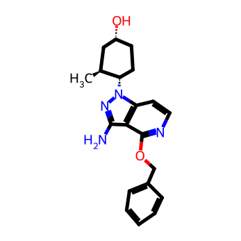 C[C@H]1C[C@H](O)CC[C@@H]1n1nc(N)c2c(OCc3ccccc3)nccc21